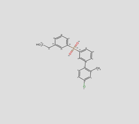 Cc1cc(Cl)ccc1-c1cccc(S(=O)(=O)c2cccc(CC(=O)O)c2)c1